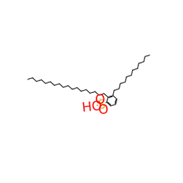 CCCCCCCCCCCCCCCCCCc1c(CCCCCCCCCCCC)cccc1S(=O)(=O)O